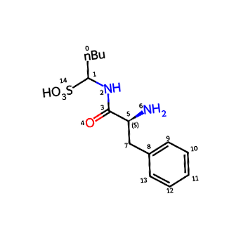 CCCCC(NC(=O)[C@@H](N)Cc1ccccc1)S(=O)(=O)O